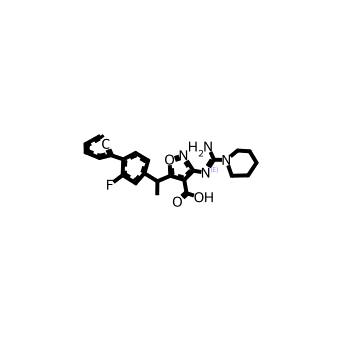 CC(c1ccc(-c2ccccc2)c(F)c1)c1onc(/N=C(\N)N2CCCCC2)c1C(=O)O